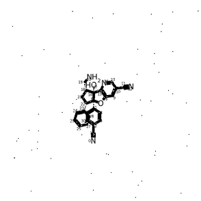 N#Cc1ccc([C@@]23Oc4cc(C#N)cnc4[C@]2(O)[C@@H](CN)C[C@H]3c2ccccc2)cc1